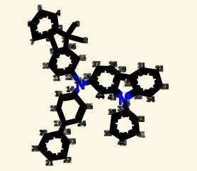 CC1(C)c2ccccc2-c2ccc(N(C3=CCC(c4ccccc4)C=C3)c3ccc4c5ccccc5n(-c5ccccc5)c4c3)cc21